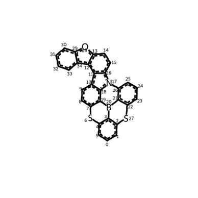 c1cc2c3c(c1)Sc1ccc4c5c6c(ccc5n5c4c1B3c1c(cccc1-5)S2)oc1ccccc16